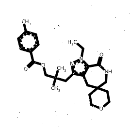 CCn1nc(CC(C)(C)COC(=O)c2ccc(C)cc2)c2c1C(=O)NCC1(CCOCC1)C2